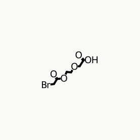 O=C(O)COCCOC(=O)CBr